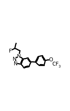 CC(F)Cn1nnc2ccc(-c3ccc(OC(F)(F)F)cc3)cc21